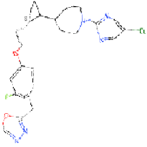 Fc1cc(OCC[C@@H]2CC2C2CCN(c3ncc(Cl)cn3)CC2)ccc1Cc1nnco1